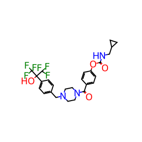 O=C(NCC1CC1)Oc1ccc(C(=O)N2CCN(Cc3ccc(C(O)(C(F)(F)F)C(F)(F)F)cc3)CC2)cc1